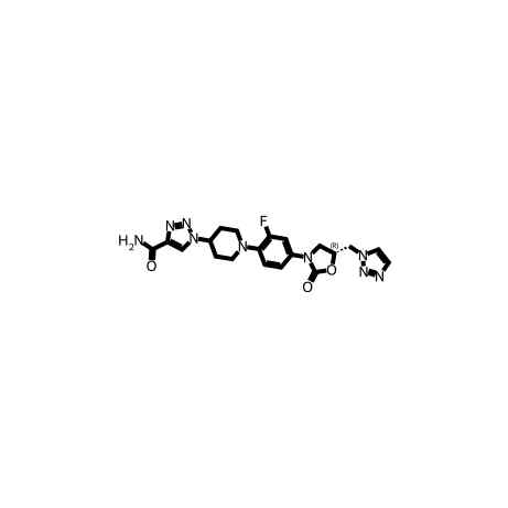 NC(=O)c1cn(C2CCN(c3ccc(N4C[C@H](Cn5ccnn5)OC4=O)cc3F)CC2)nn1